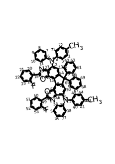 Cc1ccc(N(c2ccccc2)c2cc3c(c4oc(-c5ccccc5F)nc24)-c2c(cc(N(c4ccccc4)c4ccc(C)cc4)c4nc(-c5ccccc5F)oc24)C3(c2ccccc2)c2ccccc2)cc1